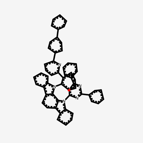 c1ccc(-c2ccc(-c3cccc(-c4ccccc4-n4c5ccccc5c5ccc6c7ccccc7n(-c7nc(-c8ccccc8)nc(-c8ccccc8)n7)c6c54)n3)cc2)cc1